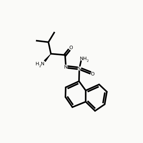 CC(C)[C@H](N)C(=O)N=S(N)(=O)c1cccc2ccccc12